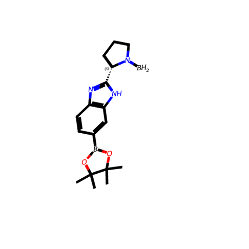 BN1CCC[C@H]1c1nc2ccc(B3OC(C)(C)C(C)(C)O3)cc2[nH]1